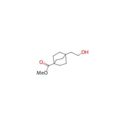 COC(=O)C12CCC(CCO)(CC1)CC2